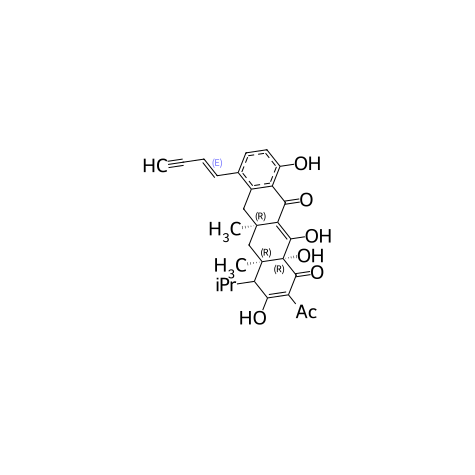 C#C/C=C/c1ccc(O)c2c1C[C@]1(C)C[C@]3(C)C(C(C)C)C(O)=C(C(C)=O)C(=O)[C@]3(O)C(O)=C1C2=O